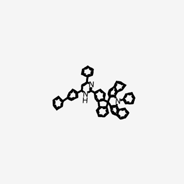 C1=C(c2ccccc2)N=C(c2ccc3c(c2)-c2ccccc2C32c3ccc4ccccc4c3N(c3ccccc3)c3c2ccc2ccccc32)NC1c1ccc(-c2ccccc2)cc1